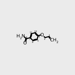 C=CCOc1ccc(C(N)=O)cc1